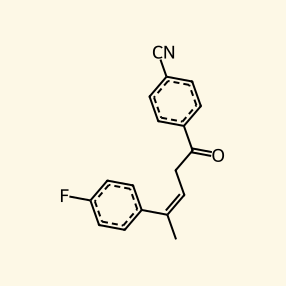 CC(=CCC(=O)c1ccc(C#N)cc1)c1ccc(F)cc1